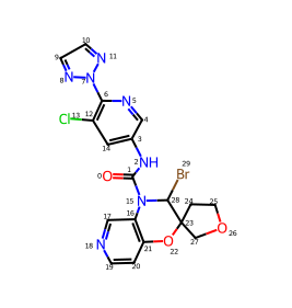 O=C(Nc1cnc(-n2nccn2)c(Cl)c1)N1c2cnccc2OC2(CCOC2)C1Br